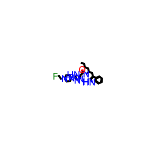 CCCCC(Cc1c[nH]c2ccccc12)NC(=O)c1nnc(N2CCN(CCF)CC2)[nH]1